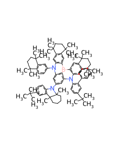 CC(C)(C)c1ccc(N2c3cc4c(cc3B3c5cc6c(cc5N(c5ccc7c(c5)C(C)(C)CCC7(C)C)c5cc(N7c8ccc(C(C)(C)C)cc8C8(C)CCCCC78C)cc2c53)C(C)(C)CCC6(C)C)C(C)(C)CCC4(C)C)c(-c2ccccc2)c1